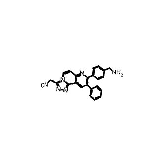 [C-]#[N+]Cc1nnc2c3cc(-c4ccccc4)c(-c4ccc(CN)cc4)nc3ccn12